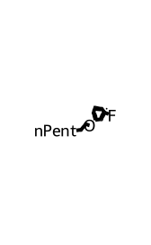 CCCCCCCOc1cc[c]c(F)c1